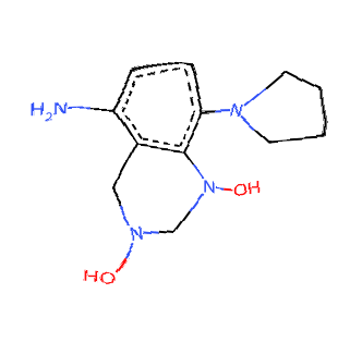 Nc1ccc(N2CCCC2)c2c1CN(O)CN2O